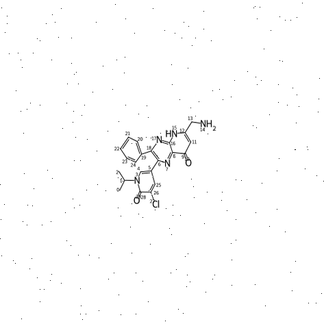 CC(C)n1cc(-c2nc3c(=O)cc(CN)[nH]c3nc2-c2ccccc2)cc(Cl)c1=O